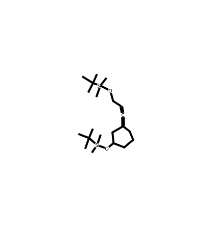 CC(C)(C)[Si](C)(C)OCC=C=C1CCCC(O[Si](C)(C)C(C)(C)C)C1